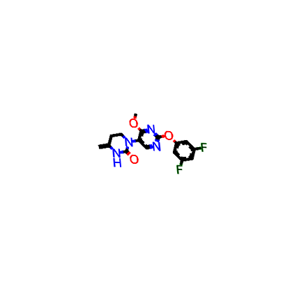 C=C1CCN(c2cnc(Oc3cc(F)cc(F)c3)nc2OC)C(=O)N1